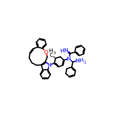 C[C@H]1CC(N(C(=N)c2ccccc2)C(N)C2=CC=CCC2)=CC=C1n1c2c(c3ccccc31)CCC/C=C\c1ccccc1OC2